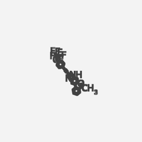 CC(=O)c1ccccc1-c1ccc2[nH]c(C#Cc3ccc(OC(C(F)(F)F)C(F)(F)F)cc3)nc2c1